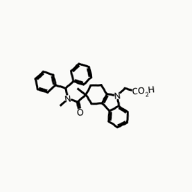 CN(C(=O)C1(C)CCc2c(c3ccccc3n2CC(=O)O)C1)C(c1ccccc1)c1ccccc1